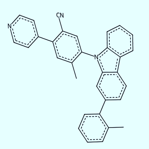 Cc1ccccc1-c1ccc2c3ccccc3n(-c3cc(C#N)c(-c4ccncc4)cc3C)c2c1